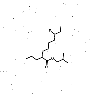 CCCC(SCCCC(F)CC)C(=O)OCC(C)C